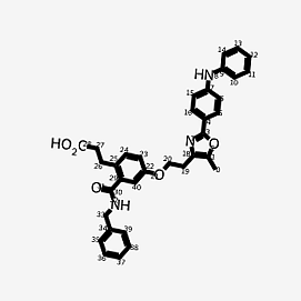 Cc1oc(-c2ccc(Nc3ccccc3)cc2)nc1CCOc1ccc(CCC(=O)O)c(C(=O)NCc2ccccc2)c1